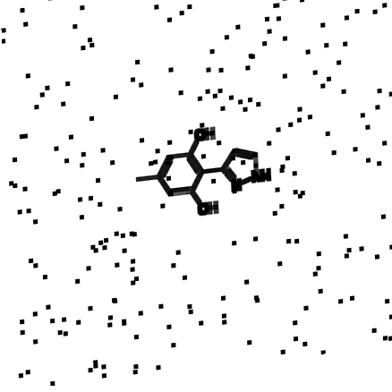 Cc1cc(O)c(-c2cc[nH]n2)c(O)c1